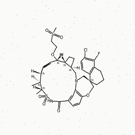 C[C@@H]1[C@@H](C)S(=O)(=O)NC(=O)c2ccc3c(c2)N(C[C@@H]2CC[C@H]2[C@@H](OCCS(C)(=O)=O)C2=C[C@H]1C2)C[C@@]1(CCCc2c1ccc(Cl)c2F)CO3